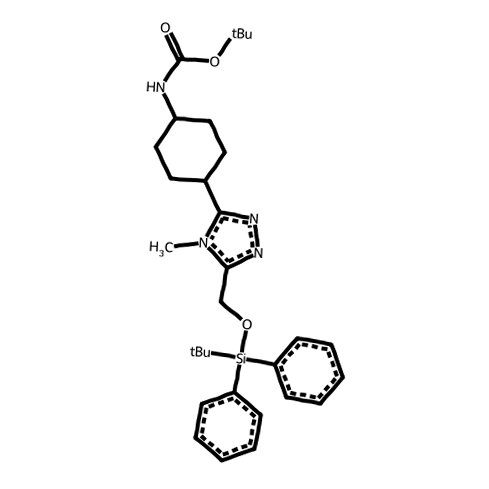 Cn1c(CO[Si](c2ccccc2)(c2ccccc2)C(C)(C)C)nnc1C1CCC(NC(=O)OC(C)(C)C)CC1